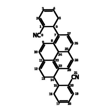 N#CC1=CC=CCC1C1=C2C=CC3=CCC(C4CC=CC=C4C#N)C4=C3C2C(C=C1)C=C4